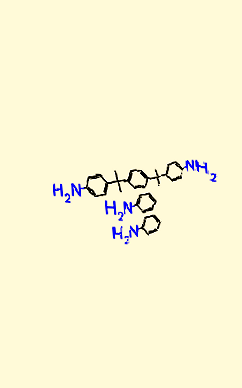 CC(C)(c1ccc(N)cc1)c1ccc(C(C)(C)c2ccc(N)cc2)cc1.Nc1ccccc1.Nc1ccccc1